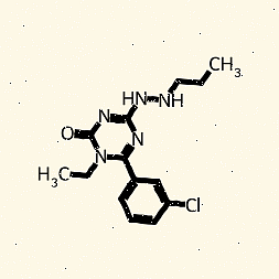 CCCNNc1nc(-c2cccc(Cl)c2)n(CC)c(=O)n1